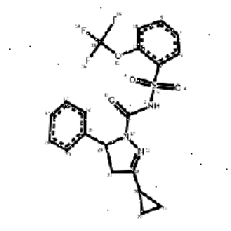 O=C(NS(=O)(=O)c1ccccc1OC(F)(F)F)N1N=C(C2CC2)CC1c1ccccc1